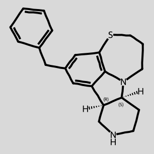 c1ccc(Cc2cc3c4c(c2)[C@@H]2CNCC[C@@H]2N4CCCS3)cc1